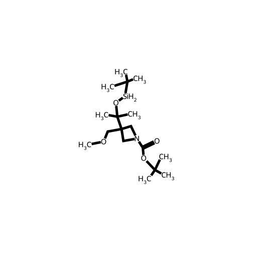 COCC1(C(C)(C)O[SiH2]C(C)(C)C)CN(C(=O)OC(C)(C)C)C1